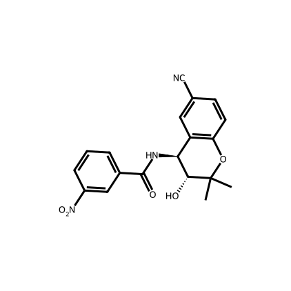 CC1(C)Oc2ccc(C#N)cc2[C@H](NC(=O)c2cccc([N+](=O)[O-])c2)[C@H]1O